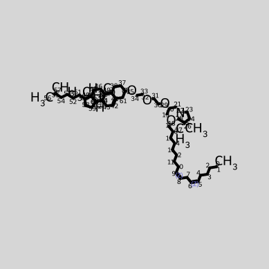 CCCCC/C=C\C/C=C\CCCCCCCCOCC(CN1CCC(C)(C)C1)OCCOCCO[C@H]1CC[C@@]2(C)C(=CC[C@@H]3C2CC[C@]2(C)C(CCCCC(C)C)CC[C@@H]32)C1